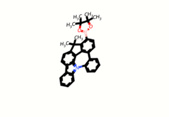 CC1(C)c2ccc3c4ccccc4n4c3c2-c2c(ccc(B3OC(C)(C)C(C)(C)O3)c21)-c1ccccc1-4